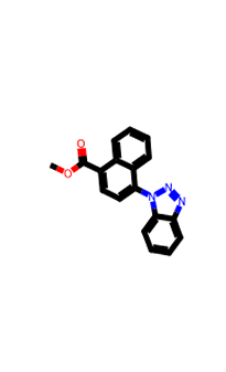 COC(=O)c1ccc(-n2nnc3ccccc32)c2ccccc12